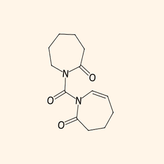 O=C1CCCC=CN1C(=O)N1CCCCCC1=O